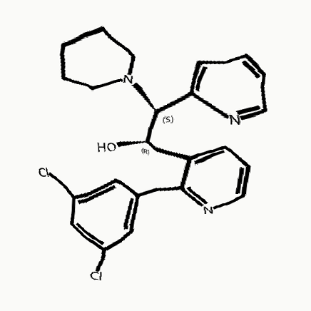 O[C@H](c1cccnc1-c1cc(Cl)cc(Cl)c1)[C@H](c1ccccn1)N1CCCCC1